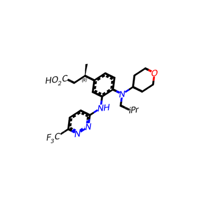 CC(C)CN(c1ccc([C@H](C)CC(=O)O)cc1Nc1ccc(C(F)(F)F)nn1)C1CCOCC1